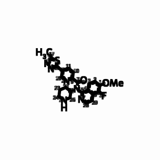 COc1ccc2c(N(C(=O)c3ccc(-c4nnc(C)s4)cn3)[C@@H]3CCCNC3)nccc2c1F